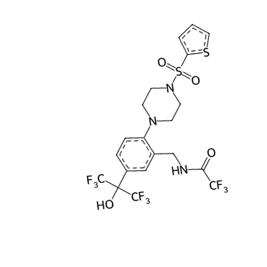 O=C(NCc1cc(C(O)(C(F)(F)F)C(F)(F)F)ccc1N1CCN(S(=O)(=O)c2cccs2)CC1)C(F)(F)F